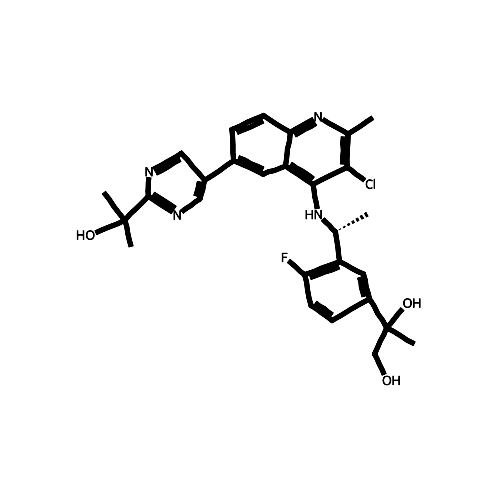 Cc1nc2ccc(-c3cnc(C(C)(C)O)nc3)cc2c(N[C@H](C)c2cc(C(C)(O)CO)ccc2F)c1Cl